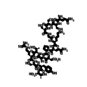 CC(C)[C@H](NC(=O)[C@H](CC(=O)O)NC(=O)[C@@H]1CCCN1C(=O)[C@H](CCC(N)=O)NC(=O)[C@H](CCCCN)NC(=O)CNC(=O)[C@H](CO)NC(=O)[C@H](CC(=O)O)NC(=O)[C@H](CO)NC(=O)[C@@H](N)CCC(N)=O)C(=O)N[C@H](C(=O)N[C@@H](CCCNC(=N)N)C(=O)N[C@@H](CO)C(=O)N[C@@H](Cc1ccc(O)cc1)C(=O)N[C@H](C(=O)O)[C@@H](C)O)[C@@H](C)O